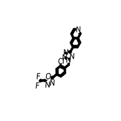 FC(F)c1nnc(-c2ccc(Cn3nnc(-c4ccc5cnccc5c4)n3)c(Cl)c2)o1